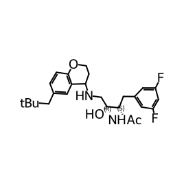 CC(=O)N[C@@H](Cc1cc(F)cc(F)c1)[C@H](O)CNC1CCOc2ccc(CC(C)(C)C)cc21